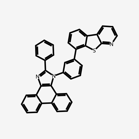 c1ccc(-c2nc3c4ccccc4c4ccccc4c3n2-c2cccc(-c3cccc4c3sc3ncccc34)c2)cc1